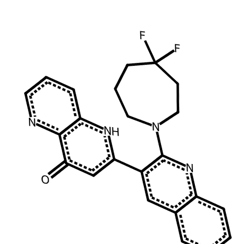 O=c1cc(-c2cc3ccccc3nc2N2CCCC(F)(F)CC2)[nH]c2cccnc12